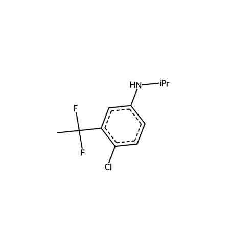 CC(C)Nc1ccc(Cl)c(C(C)(F)F)c1